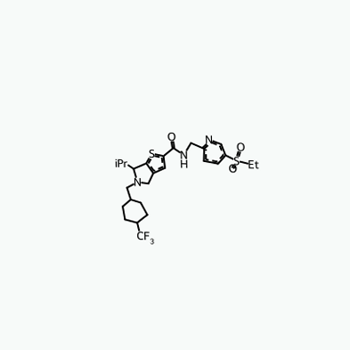 CCS(=O)(=O)c1ccc(CNC(=O)c2cc3c(s2)C(C(C)C)N(CC2CCC(C(F)(F)F)CC2)C3)nc1